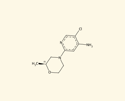 C[C@H]1CN(c2cc(N)c(Cl)cn2)CCO1